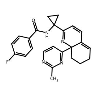 Cc1nccc(C23CCCC=C2C=CC(C2(NC(=O)c4ccc(F)cc4)CC2)=N3)n1